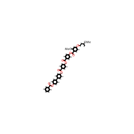 COc1cc(OCCC(C)OC)ccc1C(=O)Oc1ccc(C(=O)Oc2ccc(C(=O)Oc3ccc(-c4ccc(OC(=O)c5ccccc5)cc4)cc3)cc2)cc1